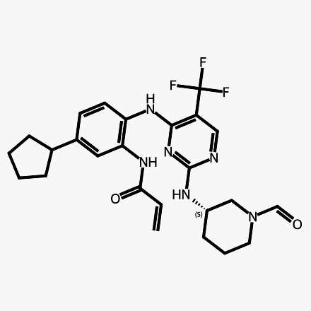 C=CC(=O)Nc1cc(C2CCCC2)ccc1Nc1nc(N[C@H]2CCCN(C=O)C2)ncc1C(F)(F)F